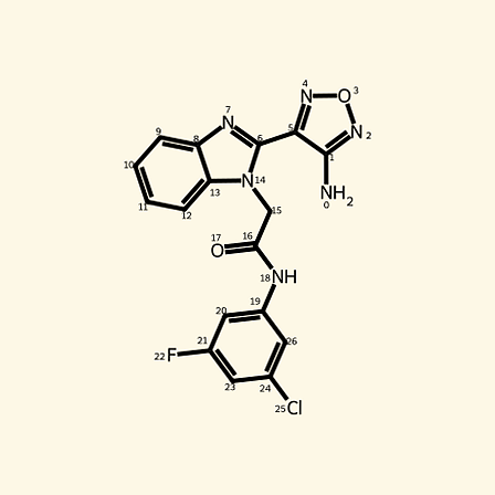 Nc1nonc1-c1nc2ccccc2n1CC(=O)Nc1cc(F)cc(Cl)c1